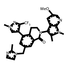 COc1cnc2c(c1)c(N1CCc3c(cc(Cn4ccnc4C)cc3-c3cn(C)nc3C(F)(F)F)C1=O)c(C)n2C